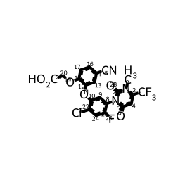 Cn1c(C(F)(F)F)cc(=O)n(-c2cc(Oc3cc(C#N)ccc3OCC(=O)O)c(Cl)cc2F)c1=O